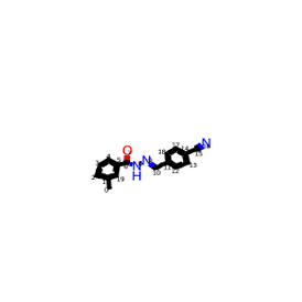 Cc1cccc(C(=O)NN=Cc2ccc(C#N)cc2)c1